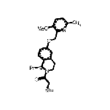 COc1ccc(C)nc1COc1ccc2c(c1)CCN(C(=O)CC(C)(C)C)[C@H]2C(C)C